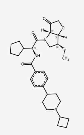 CS[C@H]1CN(C(=O)[C@@H](NC(=O)c2ccc(C3CCN(C4CCC4)CC3)cc2)C2CCCC2)[C@@H]2C(=O)CO[C@H]12